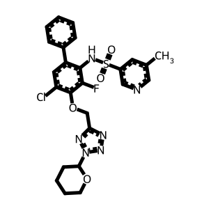 Cc1cncc(S(=O)(=O)Nc2c(-c3ccccc3)cc(Cl)c(OCc3nnn(C4CCCCO4)n3)c2F)c1